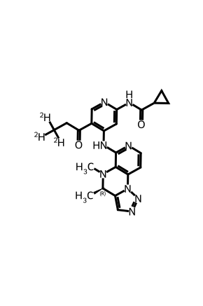 [2H]C([2H])([2H])CC(=O)c1cnc(NC(=O)C2CC2)cc1Nc1nccc2c1N(C)[C@H](C)c1cnnn1-2